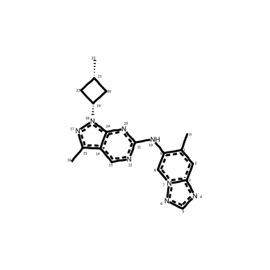 Cc1cc2ncnn2cc1Nc1ncc2c(C)nn([C@H]3C[C@@H](C)C3)c2n1